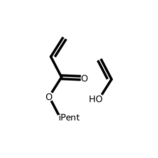 C=CO.[CH2]CCC(C)OC(=O)C=C